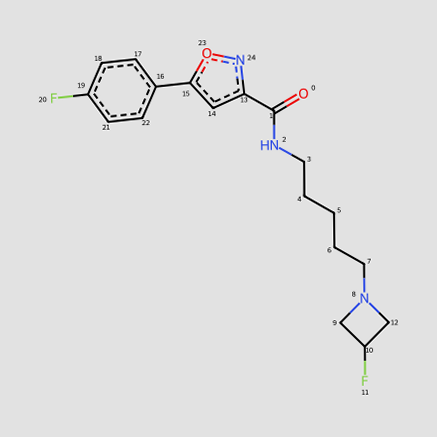 O=C(NCCCCCN1CC(F)C1)c1cc(-c2ccc(F)cc2)on1